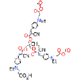 CCN(CCC(=O)O)c1ccc(/C=C(\C#N)C(=O)OCC(C)(COC(=O)/C(C#N)=C/c2ccc(N(CC)CCC(=O)OC3CO3)cc2)COC(=O)/C(C#N)=C/c2ccc(N(CC)CCC(=O)OC3CO3)cc2)cc1